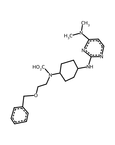 CN(C)c1ccnc(NC2CCC(N(CCOCc3ccccc3)C(=O)O)CC2)n1